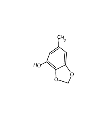 Cc1cc(O)c2c(c1)OCO2